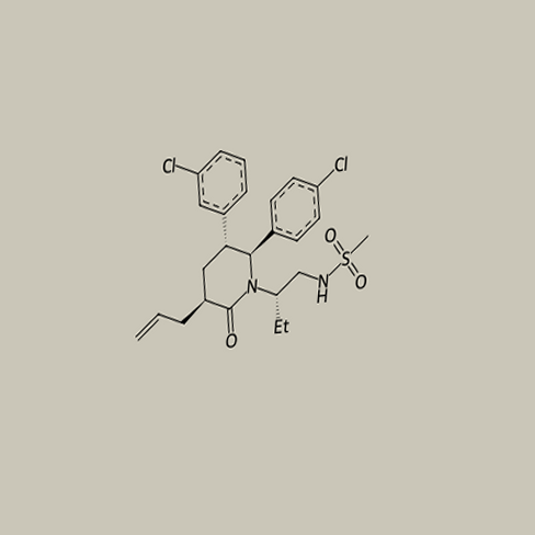 C=CC[C@H]1C[C@H](c2cccc(Cl)c2)[C@@H](c2ccc(Cl)cc2)N([C@@H](CC)CNS(C)(=O)=O)C1=O